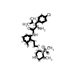 CC(C)[C@H](c1ccc(Cl)cc1)[C@H](N)C(=O)Nc1cccc(F)c1CCC[C@H]1CNC[C@H](C)N1S(C)(=O)=O